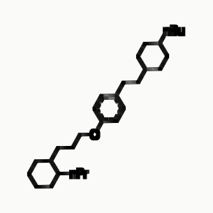 CCCCC1CCC(CCc2ccc(OCCCC3CCCCC3CCC)cc2)CC1